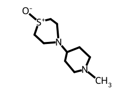 CN1CCC(N2CC[S+]([O-])CC2)CC1